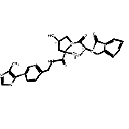 Cc1ncsc1-c1ccc(CNC(=O)[C@]2(C)C[C@@H](O)CN2C(=O)[C@H](C(C)C)N2Cc3ccccc3C2=O)cc1